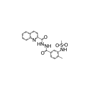 Cc1ccc(C(=O)NNC(=O)c2ccc3ccccc3n2)cc1NS(C)(=O)=O